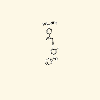 Cc1cc(C(=O)N2CCOCC2)ccc1C#CCNc1ccc(C(=N)N)cc1